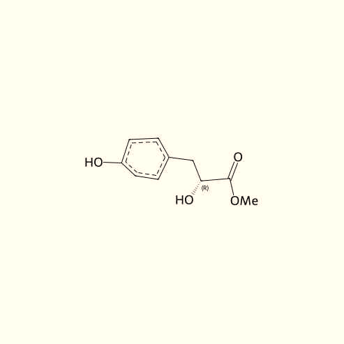 COC(=O)[C@H](O)Cc1ccc(O)cc1